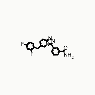 NC(=O)c1cccc(-c2nnc3ccc(Cc4ccc(F)cc4F)cn23)c1